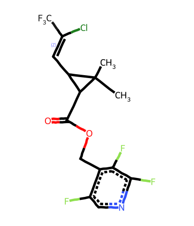 CC1(C)C(/C=C(\Cl)C(F)(F)F)C1C(=O)OCc1c(F)cnc(F)c1F